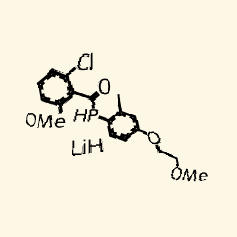 COCCOc1ccc(PC(=O)c2c(Cl)cccc2OC)c(C)c1.[LiH]